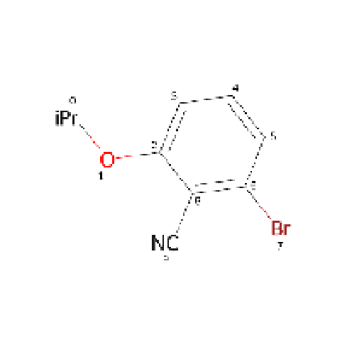 CC(C)Oc1cccc(Br)c1C#N